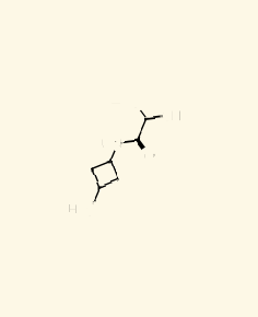 CC1CC(NC(=O)C(C)C)C1